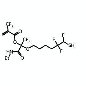 C=C(C(=O)OC(OCCCCC(F)(F)C(F)S)(C(=O)NCC)C(F)(F)F)C(F)(F)F